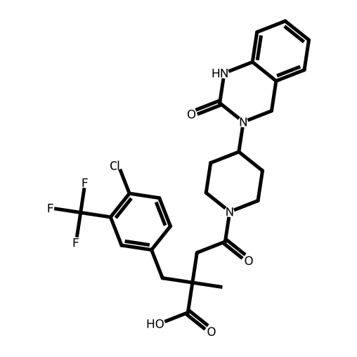 CC(CC(=O)N1CCC(N2Cc3ccccc3NC2=O)CC1)(Cc1ccc(Cl)c(C(F)(F)F)c1)C(=O)O